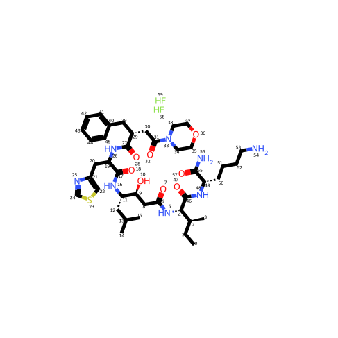 CC[C@H](C)[C@H](NC(=O)C[C@H](O)[C@H](CC(C)C)NC(=O)C(Cc1cscn1)NC(=O)[C@@H](CC(=O)N1CCOCC1)Cc1ccccc1)C(=O)N[C@@H](CCCCN)C(N)=O.F.F